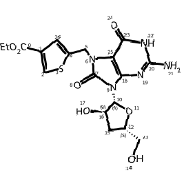 CCOC(=O)c1csc(Cn2c(=O)n([C@@H]3O[C@H](CO)C[C@H]3O)c3nc(N)[nH]c(=O)c32)c1